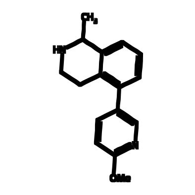 COc1ccc(-c2cccc3c2CCNC3C)cn1